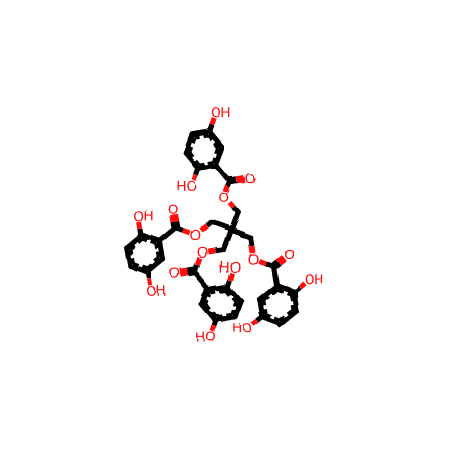 O=C(OCC(COC(=O)c1cc(O)ccc1O)(COC(=O)c1cc(O)ccc1O)COC(=O)c1cc(O)ccc1O)c1cc(O)ccc1O